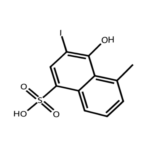 Cc1cccc2c(S(=O)(=O)O)cc(I)c(O)c12